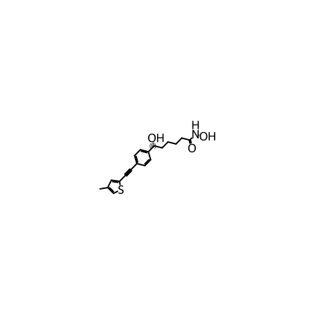 Cc1csc(C#Cc2ccc([C@H](O)CCCCC(=O)NO)cc2)c1